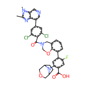 Cc1nc2c(-c3cc(Cl)c(C(=O)N4COc5c(cccc5-c5cc(N6C7CCC6COC7)c(C(=O)O)cc5F)C4)c(Cl)c3)cncc2n1C